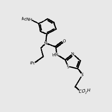 CC(=O)Nc1cccc(N(CCC(C)C)C(=O)Nc2ncc(SCC(=O)O)s2)c1